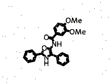 COc1ccc(C(=O)NC2=C(c3ccccc3)NC(c3ccccc3)O2)cc1OC